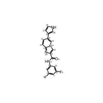 O=C(Nc1cc(F)cc(F)c1)c1cn2cc(-c3cc[nH]c3)ccc2n1